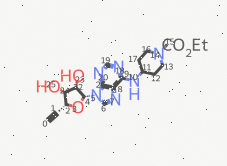 C#C[C@H]1O[C@@H](n2cnc3c(NC4CCN(C(=O)OCC)CC4)ncnc32)[C@H](O)[C@@H]1O